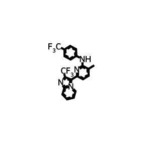 Cc1ccc(-c2c(C(F)(F)F)nc3ccccn23)nc1Nc1ccc(C(F)(F)F)cc1